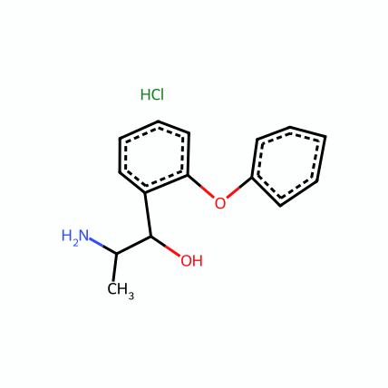 CC(N)C(O)c1ccccc1Oc1ccccc1.Cl